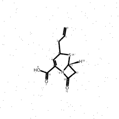 C=CCC1C=C(C(=O)O)N2C(=O)C[C@H]2S1